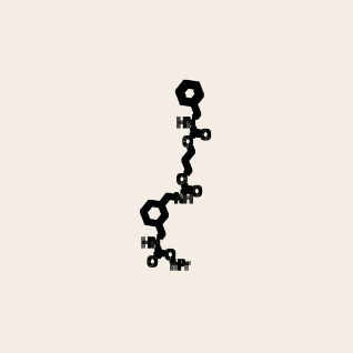 CCCOC(=O)NCC1CCCC(CNC(=O)OCCCOC(=O)NCc2ccccc2)C1